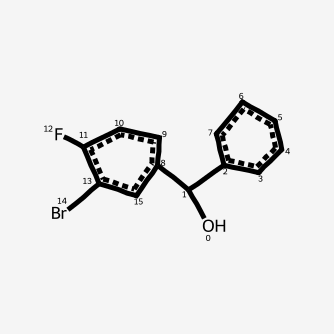 OC(c1ccccc1)c1ccc(F)c(Br)c1